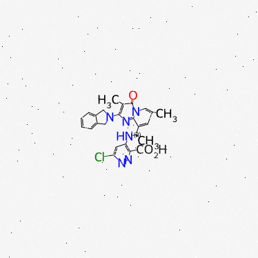 Cc1cc([C@@H](C)Nc2cc(Cl)nnc2C(=O)O)c2nc(N3Cc4ccccc4C3)c(C)c(=O)n2c1